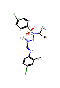 Cc1cc(Cl)ccc1N=CN(C)SN(C(C)C)S(=O)(=O)c1ccc(Cl)cc1